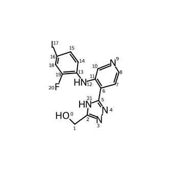 OCc1nnc(-c2ccncc2Nc2ccc(I)cc2F)[nH]1